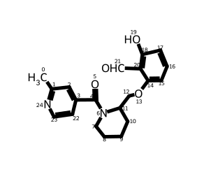 Cc1cc(C(=O)N2CCCCC2COc2cccc(O)c2C=O)ccn1